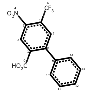 O=C(O)c1cc([N+](=O)[O-])c(C(F)(F)F)cc1-c1ccccc1